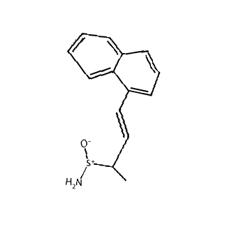 CC(C=Cc1cccc2ccccc12)[S+](N)[O-]